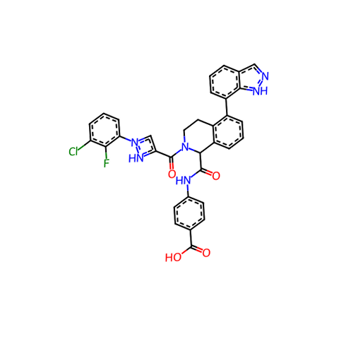 O=C(O)c1ccc(NC(=O)C2c3cccc(-c4cccc5cn[nH]c45)c3CCN2C(=O)c2cn(-c3cccc(Cl)c3F)[nH]2)cc1